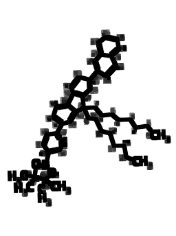 CCCCCCCCC1(CCCCCCCC)c2cc(-c3ccc4ccccc4c3)ccc2-c2ccc(-c3ccc(B4OC(C)(C)C(C)(C)O4)cn3)cc21